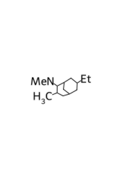 CCC1CC2CC(C)C(NC)C(C1)C2